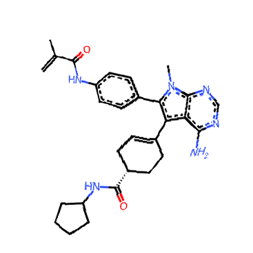 C=C(C)C(=O)Nc1ccc(-c2c(C3=CC[C@@H](C(=O)NC4CCCC4)CC3)c3c(N)ncnc3n2C)cc1